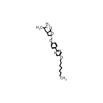 CCCCCCCCOc1cnc(-c2ccc(OC[C@@H]3CC(CC(C)C)C(=O)O3)cc2)nc1